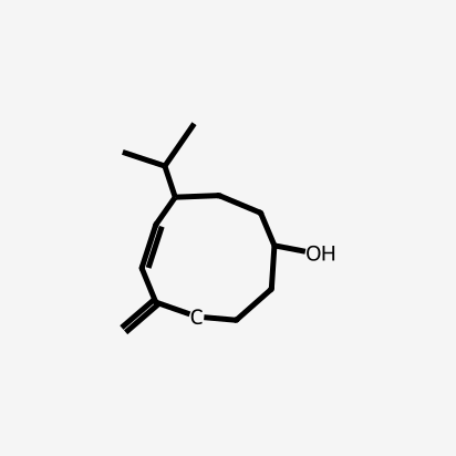 C=C1/C=C\C(C(C)C)CCC(O)CCC1